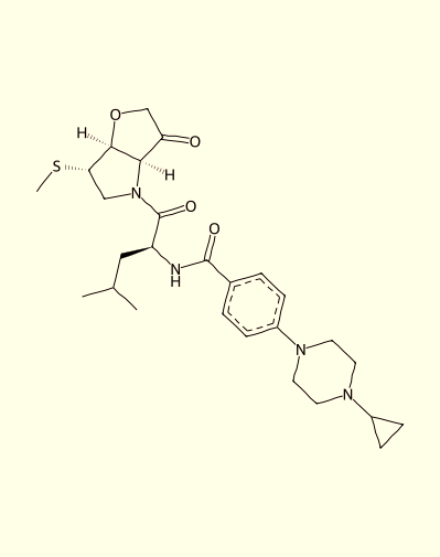 CS[C@H]1CN(C(=O)[C@H](CC(C)C)NC(=O)c2ccc(N3CCN(C4CC4)CC3)cc2)[C@@H]2C(=O)CO[C@H]12